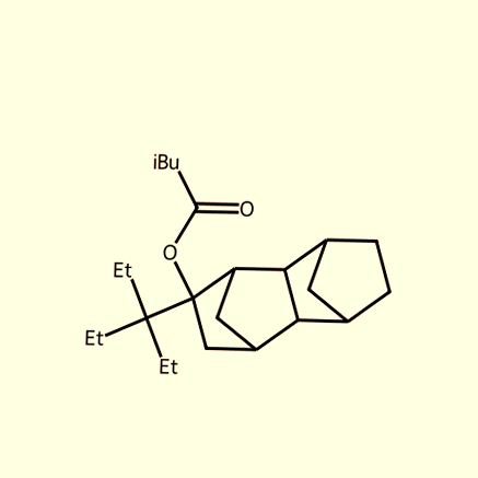 CCC(C)C(=O)OC1(C(CC)(CC)CC)CC2CC1C1C3CCC(C3)C21